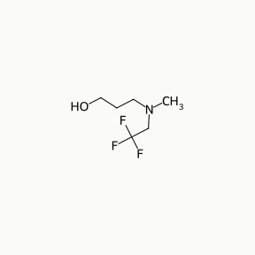 CN(CCCO)CC(F)(F)F